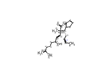 C/C=C\C[C@@H](C1CCCC1)[C@](C)(C=CC(O)CCCC(C)O)C(=O)O